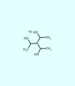 CC(O)N(C(C)O)C(C)O.[Fe]